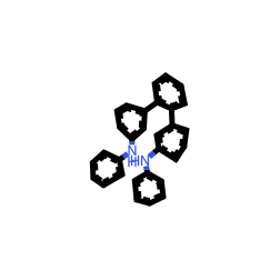 c1ccc(Nc2cccc(-c3ccccc3-c3cccc(Nc4ccccc4)c3)c2)cc1